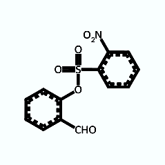 O=Cc1ccccc1OS(=O)(=O)c1ccccc1[N+](=O)[O-]